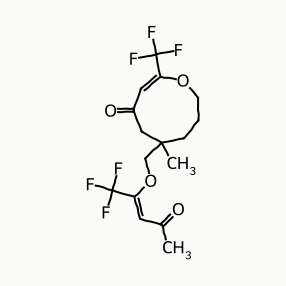 CC(=O)/C=C(\OCC1(C)CCCO/C(C(F)(F)F)=C\C(=O)C1)C(F)(F)F